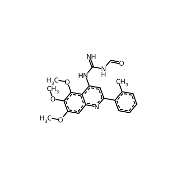 COc1cc2nc(-c3ccccc3C)cc(NC(=N)NC=O)c2c(OC)c1OC